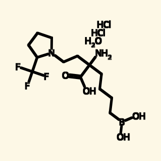 Cl.Cl.NC(CCCCB(O)O)(CCN1CCCC1C(F)(F)F)C(=O)O.O